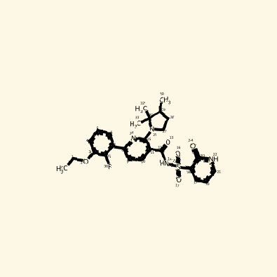 CCOc1cccc(-c2ccc(C(=O)NS(=O)(=O)c3ccc[nH]c3=O)c(N3CCC(C)C3(C)C)n2)c1F